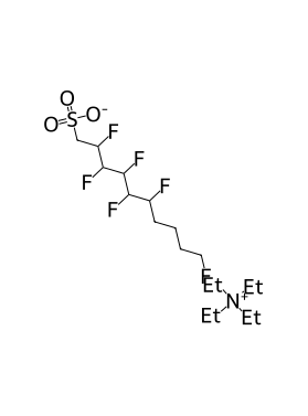 CC[N+](CC)(CC)CC.O=S(=O)([O-])CC(F)C(F)C(F)C(F)C(F)CCCCF